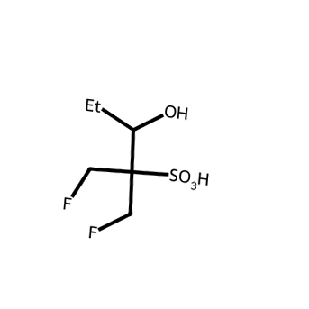 CCC(O)C(CF)(CF)S(=O)(=O)O